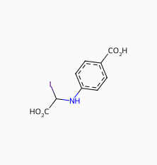 O=C(O)c1ccc(NC(I)C(=O)O)cc1